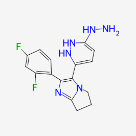 NNC1=CC=C(c2c(-c3ccc(F)cc3F)nc3n2CCC3)NN1